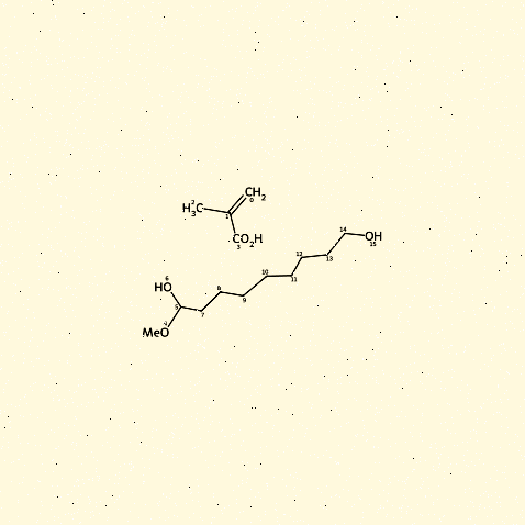 C=C(C)C(=O)O.COC(O)CCCCCCCCO